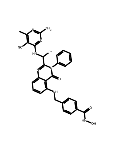 CCC(Nc1nc(N)nc(C)c1C#N)c1nc2cccc(NCc3ccc(C(=O)NO)cc3)c2c(=O)n1-c1ccccc1